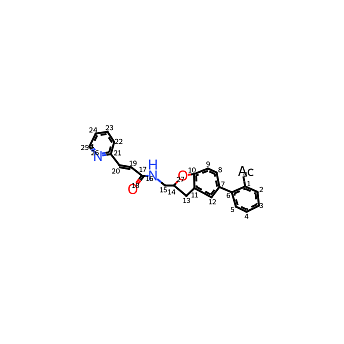 CC(=O)c1ccccc1-c1ccc2c(c1)CC(CNC(=O)/C=C/c1ccccn1)O2